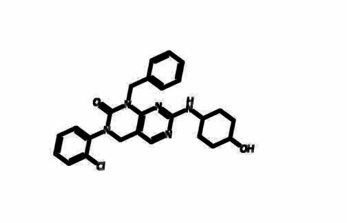 O=C1N(c2ccccc2Cl)Cc2cnc(NC3CCC(O)CC3)nc2N1Cc1ccccc1